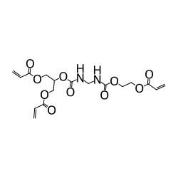 C=CC(=O)OCCOC(=O)NCNC(=O)OC(COC(=O)C=C)COC(=O)C=C